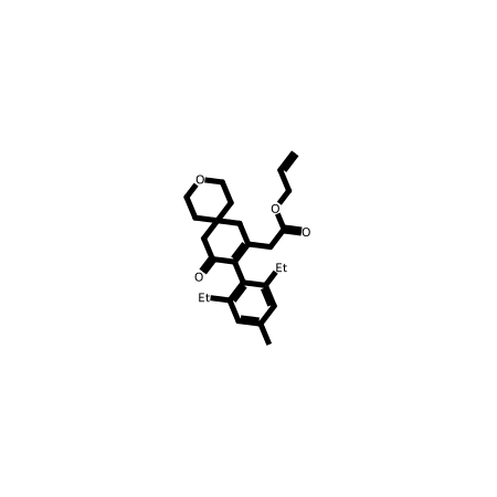 C=CCOC(=O)CC1=C(c2c(CC)cc(C)cc2CC)C(=O)CC2(CCOCC2)C1